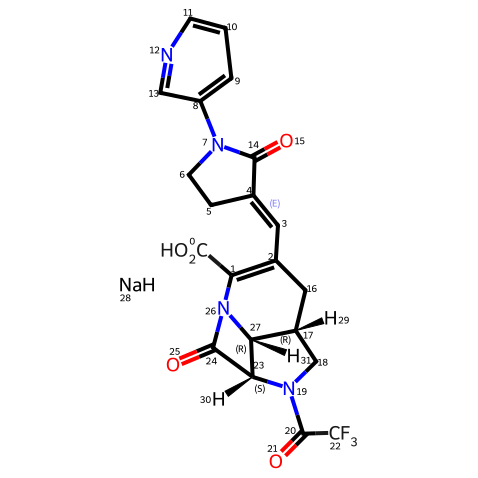 O=C(O)C1=C(/C=C2\CCN(c3cccnc3)C2=O)C[C@@H]2CN(C(=O)C(F)(F)F)[C@@H]3C(=O)N1[C@H]23.[NaH]